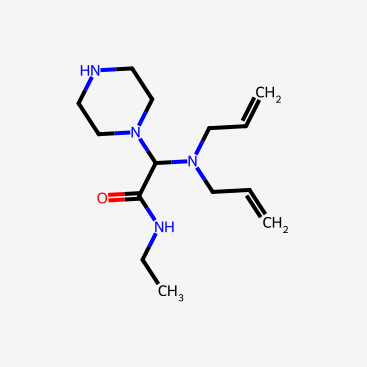 C=CCN(CC=C)C(C(=O)NCC)N1CCNCC1